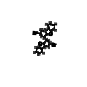 Brc1cc(-c2cc(Br)cc3c2oc2ccccc23)c2oc3ccccc3c2c1